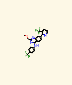 COCc1nc(Nc2ccc(C(F)(F)F)cc2)c2ccc(-c3ncccc3C(F)(F)F)cc2n1